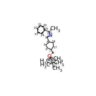 C[C@H](N=CC1CCC(CO[Si](C)(C)C(C)(C)C)CC1)c1ccccc1